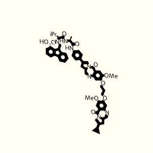 COc1cc2c(cc1OCCCOc1cc3c(cc1OC)C(=O)N1C=C(C4CC4)CC1C=N3)N=CC1CC(c3ccc(NC(=O)[C@H](C)NC(=O)[C@H](C(C)C)N(CC4c5ccccc5-c5ccccc54)C(=O)O)cc3)=CN1C2=O